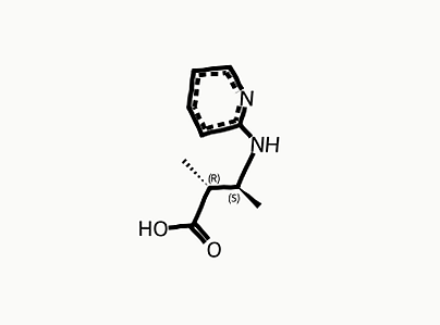 C[C@H](Nc1ccccn1)[C@@H](C)C(=O)O